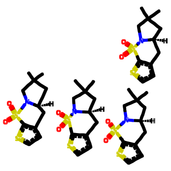 CC1(C)C[C@H]2Cc3ccsc3S(=O)(=O)N2C1.CC1(C)C[C@H]2Cc3ccsc3S(=O)(=O)N2C1.CC1(C)C[C@H]2Cc3ccsc3S(=O)(=O)N2C1.CC1(C)C[C@H]2Cc3ccsc3S(=O)(=O)N2C1